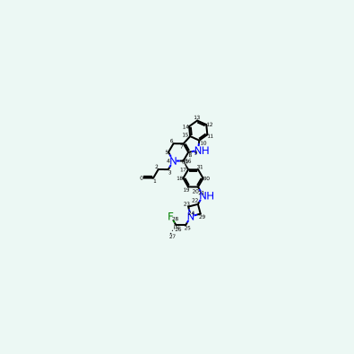 C=CCCN1CCc2c([nH]c3ccccc23)[C@H]1c1ccc(NC2CN(C[C@H](C)F)C2)cc1